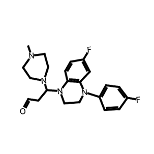 CN1CCN(C(CC=O)N2CCN(c3ccc(F)cc3)c3cc(F)ccc32)CC1